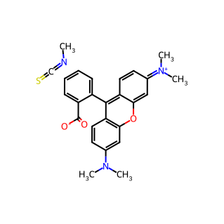 CN(C)c1ccc2c(-c3ccccc3C(=O)[O-])c3ccc(=[N+](C)C)cc-3oc2c1.CN=C=S